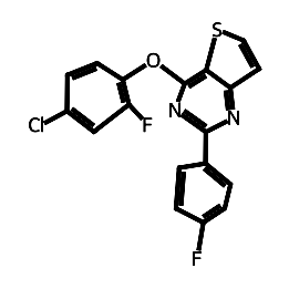 Fc1ccc(-c2nc(Oc3ccc(Cl)cc3F)c3sccc3n2)cc1